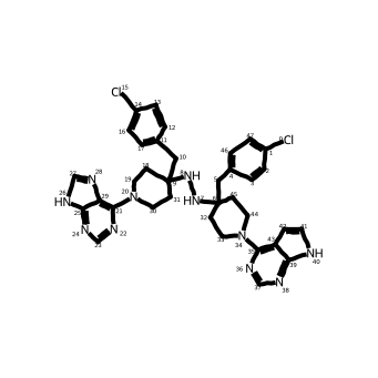 Clc1ccc(CC2(NNC3(Cc4ccc(Cl)cc4)CCN(c4ncnc5[nH]cnc45)CC3)CCN(c3ncnc4[nH]ccc34)CC2)cc1